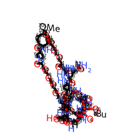 CC[C@H](C)[C@@H]1NC(=O)CNC(=O)[C@H]2Cc3c4[nH]c5cc(ccc35)OC(C(=O)N(C)CCN(CCOCCOCCOCCOCCC(=O)N3CCC(C(=O)NC5CCCCCCCCCC5)CC3)C(=O)OCc3ccc(NC(=O)[C@H](CCCNC(N)=O)NC(=O)CNC(=O)CCOCCOCCOCCOCCOC)cc3)(C(=O)N[C@@H](C[C@@H](O)CO)C(=O)N2)[C@@H]2CCCN2C(=O)[C@H](CC(N)=O)NC(=O)[C@H](C[S+]4[O-])NC(=O)CNC1=O